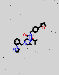 CC(C)C(=O)N1C(C)CN(Cc2ccccc2-n2cccn2)CC1C(=O)NCc1ccc(-c2ccco2)cc1